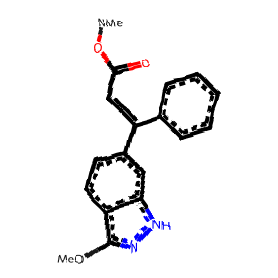 CNOC(=O)/C=C(\c1ccccc1)c1ccc2c(OC)n[nH]c2c1